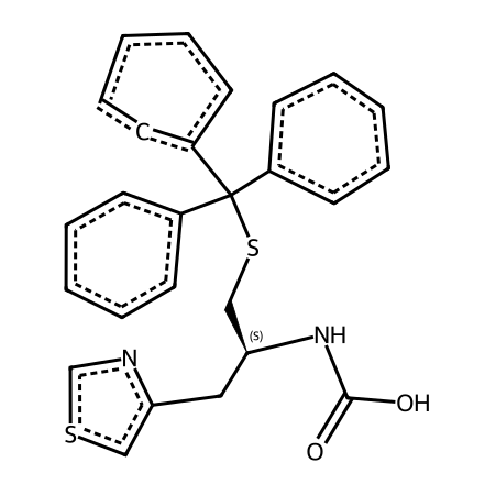 O=C(O)N[C@H](CSC(c1ccccc1)(c1ccccc1)c1ccccc1)Cc1cscn1